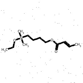 CC=CC(=O)OCCCC[Si](C)(C)OCC